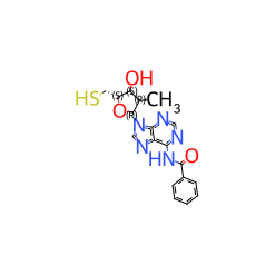 C[C@@H]1[C@H](O)[C@@H](CS)O[C@H]1n1cnc2c(NC(=O)c3ccccc3)ncnc21